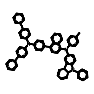 Cc1ccc(N(c2ccc3c(c2)C2C=CC=CC2N3c2ccccc2)c2ccc(-c3ccc(N(c4ccc(-c5ccccc5)cc4)c4ccc(-c5ccccc5)cc4)cc3)c3ccccc23)cc1